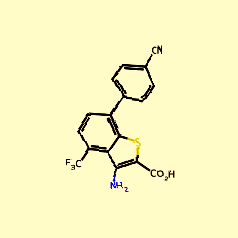 N#Cc1ccc(-c2ccc(C(F)(F)F)c3c(N)c(C(=O)O)sc23)cc1